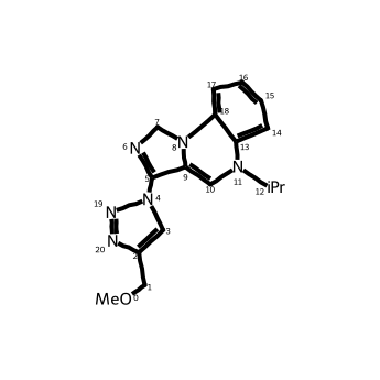 COCc1cn(C2=NCN3C2=CN(C(C)C)c2ccccc23)nn1